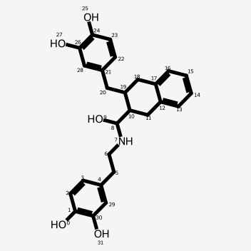 Oc1ccc(CCNC(O)C2Cc3ccccc3CC2Cc2ccc(O)c(O)c2)cc1O